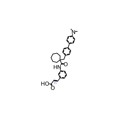 CN(C)c1ccc(-c2ccc(CC3(C(=O)Nc4cccc(/C=C/C(=O)O)c4)CCCCCC3)cc2)cc1